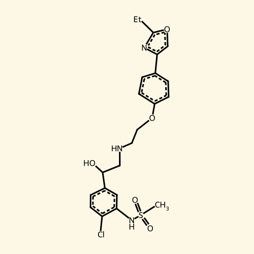 CCc1nc(-c2ccc(OCCNCC(O)c3ccc(Cl)c(NS(C)(=O)=O)c3)cc2)co1